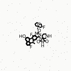 CCc1c(F)ccc2cc(O)cc(-c3c(F)cc4c(N5C(=O)NC(=O)C56CCCNC6)nc(OC[C@@]56CCCN5C[C@H](F)C6)nc4c3F)c12